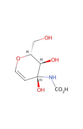 O=C(O)N[C@]1(O)C=CO[C@H](CO)[C@H]1O